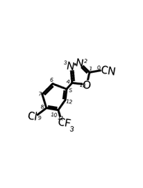 N#Cc1nnc(-c2ccc(Cl)c(C(F)(F)F)c2)o1